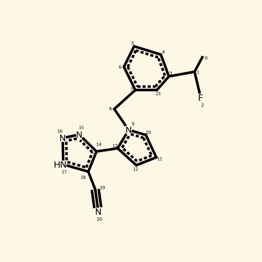 CC(F)c1cccc(Cn2cccc2-c2nn[nH]c2C#N)c1